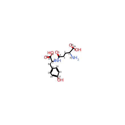 N[C@@H](CCC(=O)N[C@@H](Cc1ccc(O)cc1)C(=O)O)C(=O)O